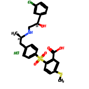 CSc1ccc(S(=O)(=O)c2ccc(C[C@@H](C)NC[C@H](O)c3cccc(Cl)c3)cc2)c(C(=O)O)c1.Cl